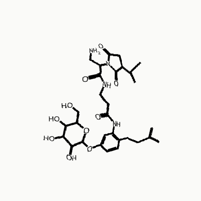 CC(C)CCc1ccc(OC2OC(CO)C(O)C(O)C2O)cc1NC(=O)CCNC(=O)C(CN)N1C(=O)CC(C(C)C)C1=O